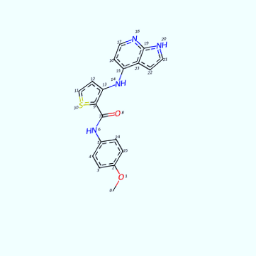 COc1ccc(NC(=O)c2sccc2Nc2ccnc3[nH]ccc23)cc1